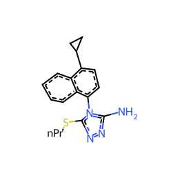 CCCSc1nnc(N)n1-c1ccc(C2CC2)c2ccccc12